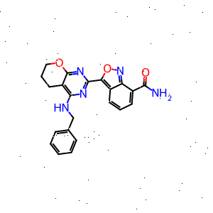 NC(=O)c1cccc2c(-c3nc(NCc4ccccc4)c4c(n3)OCCC4)onc12